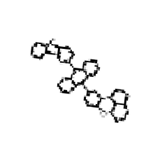 c1cc2c3c(cccc3c1)-c1cc(-c3c4ccccc4c(-c4ccc5oc6ccccc6c5c4)c4ccccc34)ccc1O2